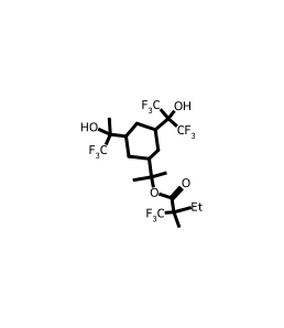 CCC(C)(C(=O)OC(C)(C)C1CC(C(C)(O)C(F)(F)F)CC(C(O)(C(F)(F)F)C(F)(F)F)C1)C(F)(F)F